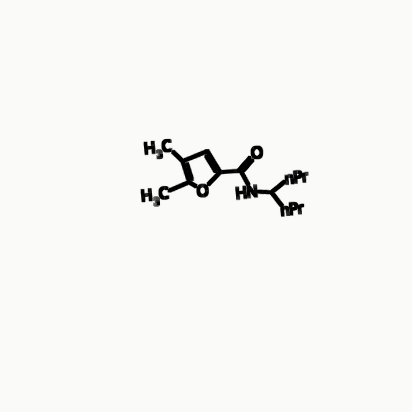 CCCC(CCC)NC(=O)c1cc(C)c(C)o1